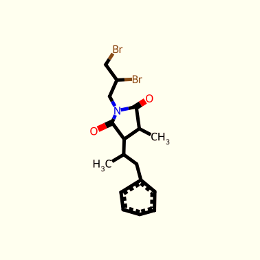 CC(Cc1ccccc1)C1C(=O)N(CC(Br)CBr)C(=O)C1C